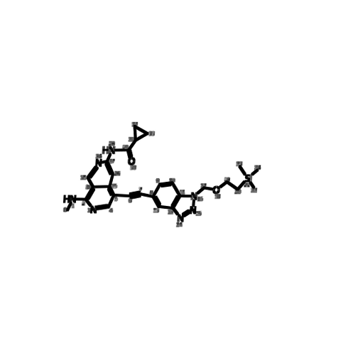 CNc1ncc(C#Cc2ccc3c(c2)nnn3COCC[Si](C)(C)C)c2cc(NC(=O)C3CC3)ncc12